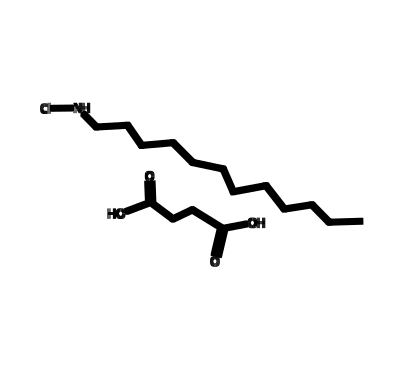 CCCCCCCCCCCCNCl.O=C(O)CCC(=O)O